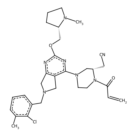 C=CC(=O)N1CCN(c2nc(OC[C@@H]3CCCN3C)nc3c2CN(Cc2cccc(C)c2Cl)C3)C[C@@H]1CC#N